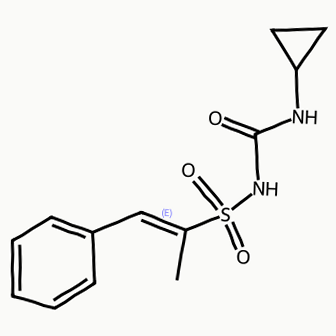 C/C(=C\c1ccccc1)S(=O)(=O)NC(=O)NC1CC1